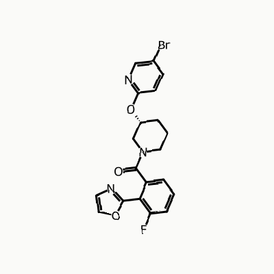 O=C(c1cccc(F)c1-c1ncco1)N1CCC[C@@H](Oc2ccc(Br)cn2)C1